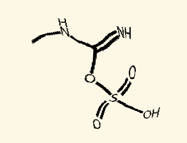 CNC(=N)OS(=O)(=O)O